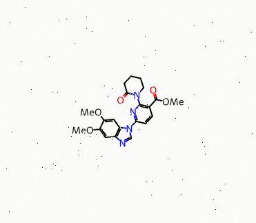 COC(=O)c1ccc(-n2cnc3cc(OC)c(OC)cc32)nc1N1CCCCC1=O